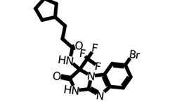 O=C(CCC1CCCC1)NC1(C(F)(F)F)C(=O)Nc2nc3ccc(Br)cc3n21